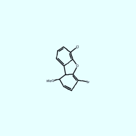 COC1C=CC(Br)=C2Oc3c(Cl)cccc3C21